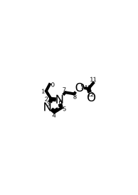 CCc1nccn1CCOC(C)=O